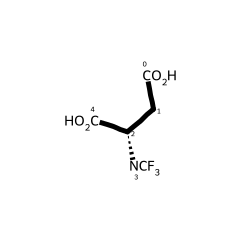 O=C(O)C[C@H](NC(F)(F)F)C(=O)O